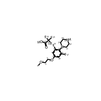 COCCOc1cc(F)c(N2CCNCC2)c(F)c1.O=C(O)C(F)(F)F